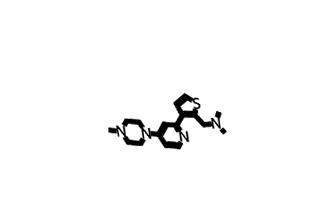 CN(C)Cc1sccc1-c1cc(N2CCN(C)CC2)ccn1